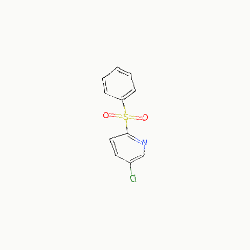 O=S(=O)(c1ccccc1)c1ccc(Cl)cn1